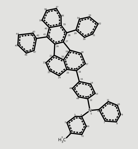 Cc1ccc(N(c2ccccc2)c2ccc(-c3ccc4c5c(cccc35)-c3c-4c(-c4ccccc4)c4ccccc4c3-c3ccccc3)cc2)cc1